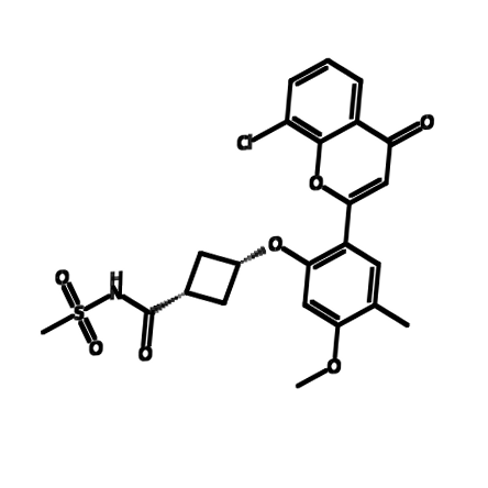 COc1cc(O[C@H]2C[C@@H](C(=O)NS(C)(=O)=O)C2)c(-c2cc(=O)c3cccc(Cl)c3o2)cc1C